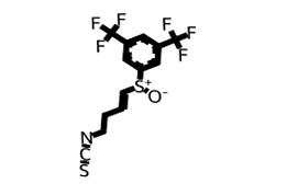 [O-][S+](/C=C/CCN=C=S)c1cc(C(F)(F)F)cc(C(F)(F)F)c1